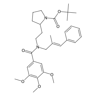 COc1cc(C(=O)N(CCC2CCCN2C(=O)OC(C)(C)C)C/C(C)=C/c2ccccc2)cc(OC)c1OC